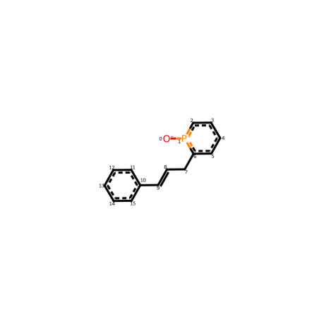 [O-][p+]1ccccc1CC=Cc1ccccc1